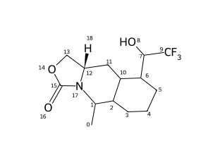 CC1C2CCCC(C(O)C(F)(F)F)C2C[C@H]2COC(=O)N12